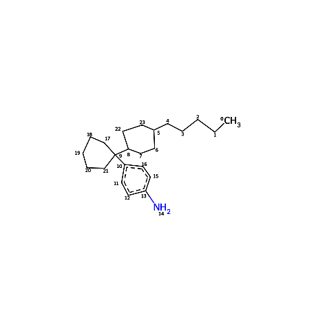 CCCCCC1CCC(C2(c3ccc(N)cc3)CCCCC2)CC1